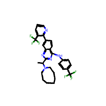 CC(c1nc(Nc2ccc(C(F)(F)F)cc2)c2ccc(-c3ncccc3C(F)(F)F)cc2n1)N1CCCCCCC1